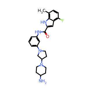 Cc1ccc(F)c2cc(C(=O)Nc3cccc(N4CCC(N5CCC(N)CC5)C4)c3)[nH]c12